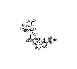 CCS(=O)(=O)c1ccc(Cl)cc1N(C)C(=O)c1cc(Cl)c(CN2CCC[C@H](NC(=O)c3cc[nH]n3)C2)c(C(F)(F)F)c1